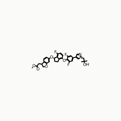 COC(=O)CC1COc2cc(O[C@@H]3CCc4c(Oc5c(F)cc(-c6cnn(CC(C)(C)O)c6)cc5F)ccc(F)c43)ccc21